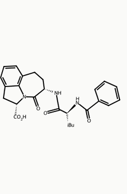 CC[C@@H](C)[C@H](NC(=O)c1ccccc1)C(=O)N[C@H]1CCc2cccc3c2N(C1=O)[C@H](C(=O)O)C3